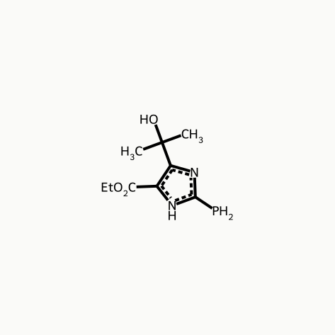 CCOC(=O)c1[nH]c(P)nc1C(C)(C)O